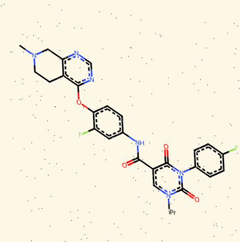 CC(C)n1cc(C(=O)Nc2ccc(Oc3ncnc4c3CCN(C)C4)c(F)c2)c(=O)n(-c2ccc(F)cc2)c1=O